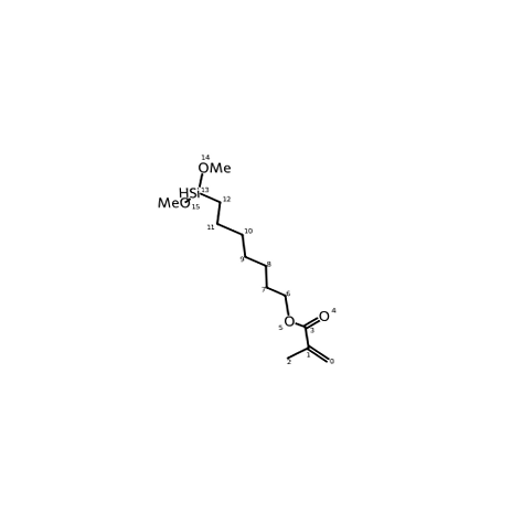 C=C(C)C(=O)OCCCCCCC[SiH](OC)OC